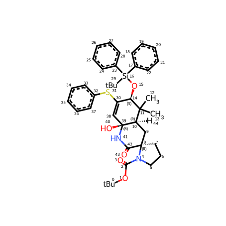 CC(C)(C)OC(=O)N1CCC[C@]12C[C@@H]1C(C)(C)[C@H](O[Si](c3ccccc3)(c3ccccc3)C(C)(C)C)C(Sc3ccccc3)=C[C@@]1(O)NC2=O